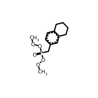 COOP(=O)(Cc1ccc2c(c1)CCCC2)OOC